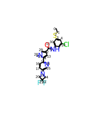 CCSc1cc(Cl)cc(NC(=O)c2cc(-c3ccc(N4CC(F)(F)C4)cn3)n(C)c2)c1